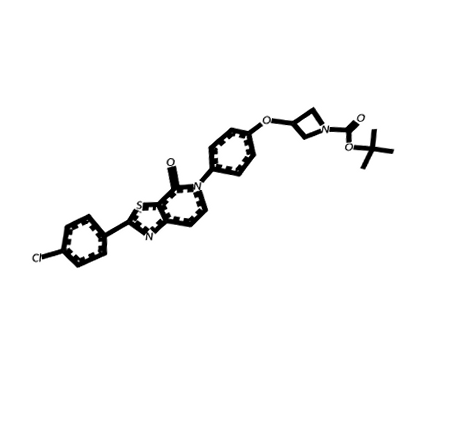 CC(C)(C)OC(=O)N1CC(Oc2ccc(-n3ccc4nc(-c5ccc(Cl)cc5)sc4c3=O)cc2)C1